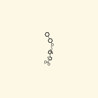 COC(=O)c1ccc(-c2ccn(CCOc3ccc(-c4ccccc4)cc3)n2)s1